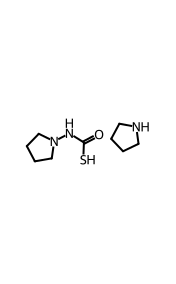 C1CCNC1.O=C(S)NN1CCCC1